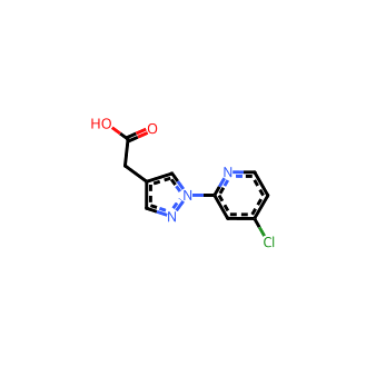 O=C(O)Cc1cnn(-c2cc(Cl)ccn2)c1